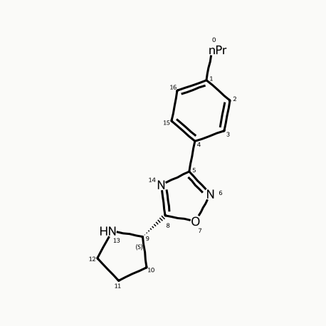 CCCc1ccc(-c2noc([C@@H]3CCCN3)n2)cc1